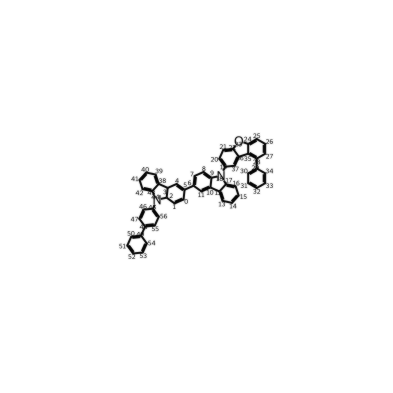 C1=CC2C(C=C1c1ccc3c(c1)c1ccccc1n3-c1ccc3oc4cccc(-c5ccccc5)c4c3c1)c1ccccc1N2c1ccc(-c2ccccc2)cc1